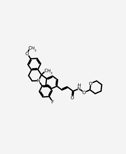 COc1ccc2c(c1)CCN(c1ccc(F)cc1)C2(C)c1ccc(/C=C/C(=O)NOC2CCCCO2)cc1